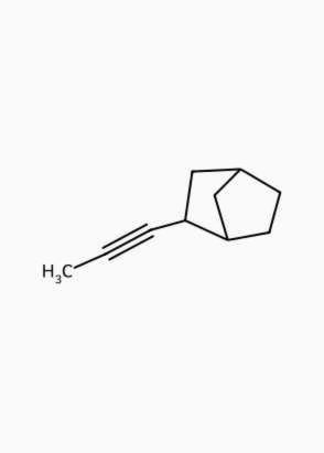 CC#CC1CC2CCC1C2